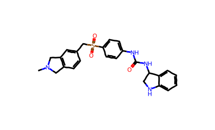 CN1Cc2ccc(CS(=O)(=O)c3ccc(NC(=O)NC4CNc5ccccc54)cc3)cc2C1